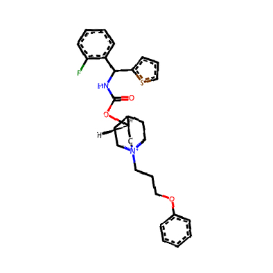 O=C(NC(c1cccs1)c1ccccc1F)O[C@H]1C[N+]2(CCCOc3ccccc3)CCC1CC2